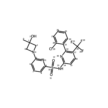 CC1(O)CN(c2cccc(S(=O)(=O)Nc3ccc(C(F)(F)F)c(-c4ccccc4Cl)n3)n2)C1